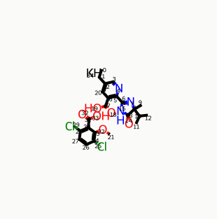 CCc1cnc(C2=NC(C)(C(C)C)C(=O)N2)c(C(=O)O)c1.COc1c(Cl)ccc(Cl)c1C(=O)O.[KH]